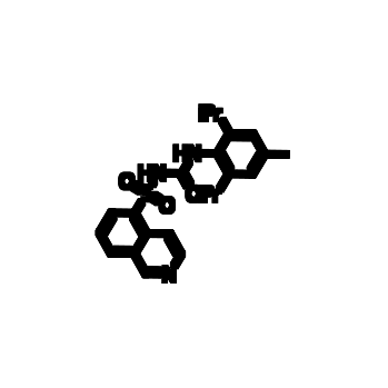 Cc1cc(C(C)C)c(NC(=O)NS(=O)(=O)c2cccc3cnccc23)c(C(C)C)c1